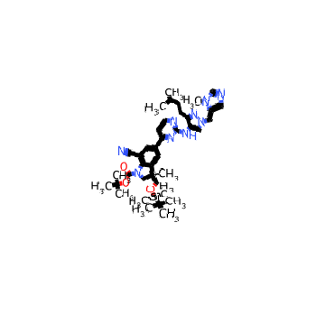 CC(C)CCc1nn(Cc2cncn2C)cc1Nc1nccc(-c2cc(C#N)c3c(c2)[C@@](C)(CO[Si](C)(C)C(C)(C)C)CN3C(=O)OC(C)(C)C)n1